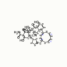 NC(=O)C1=C(O)C[C@@H]2C[C@@H]3Cc4c(/C5=C/C=C(/CN6CCCC6)C/C=C\C=C/C5)ccc(O)c4C(=O)C3=C(O)[C@]2(O)C1=O